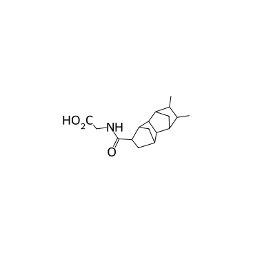 CC1C(C)C2CC1C1C3CC(C(=O)NCC(=O)O)C(C3)C21